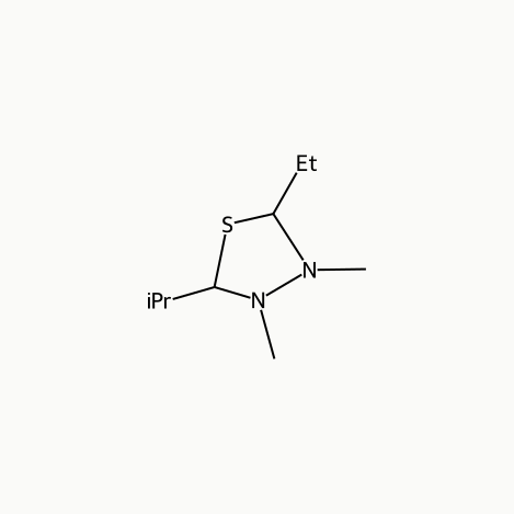 CCC1SC(C(C)C)N(C)N1C